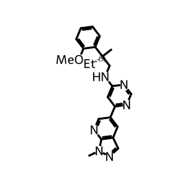 CC[C@](C)(CNc1cc(-c2cnc3c(cnn3C)c2)ncn1)c1ccccc1OC